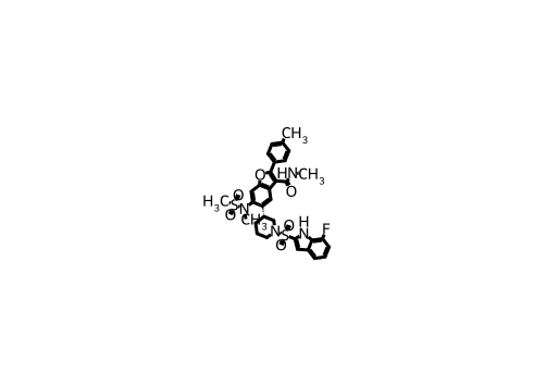 CNC(=O)c1c(-c2ccc(C)cc2)oc2cc(N(C)S(C)(=O)=O)c([C@H]3CCCN(S(=O)(=O)c4cc5cccc(F)c5[nH]4)C3)cc12